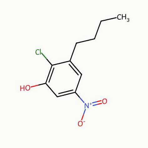 CCCCc1cc([N+](=O)[O-])cc(O)c1Cl